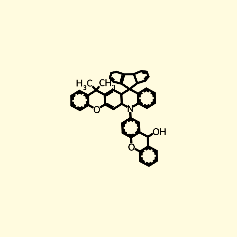 CC1(C)C2=CC3C(C=C2Oc2ccccc21)N(c1ccc2c(c1)C(O)c1ccccc1O2)c1ccccc1C31C2=C(CCC=C2)C2C=CC=CC21